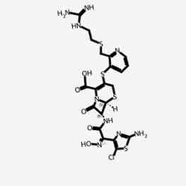 N=C(N)NCCSCc1ncccc1SC1=C(C(=O)O)N2C(=O)[C@@H](NC(=O)/C(=N\O)c3nc(N)sc3Cl)[C@@H]2SC1